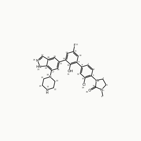 CN1CCN(c2ccc(-c3cc(F)cc(-c4cc(N5CCNCC5)c5[nH]ncc5c4)c3O)cc2Cl)C1=O